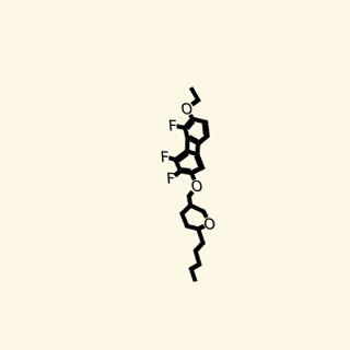 CCCCCC1CCC(COc2cc3c(c(F)c2F)-c2c-3ccc(OCC)c2F)CO1